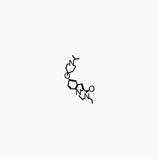 CCN1CCn2c(cc3cc(OC4CCN(C(C)C)CC4)ccc32)C1=O